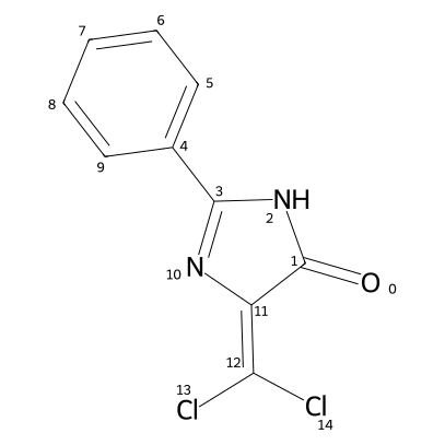 O=C1NC(c2ccccc2)=NC1=C(Cl)Cl